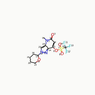 Cn1c(=O)cc(OS(=O)(=O)C(F)(F)F)c2nn(C3CCCCO3)cc21